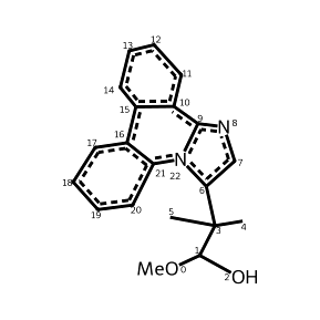 COC(O)C(C)(C)c1cnc2c3ccccc3c3ccccc3n12